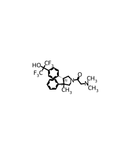 CN(C)CC(=O)N1C[C@@H](c2ccc(C(O)(C(F)(F)F)C(F)(F)F)cc2)[C@@](C)(c2ccccc2)C1